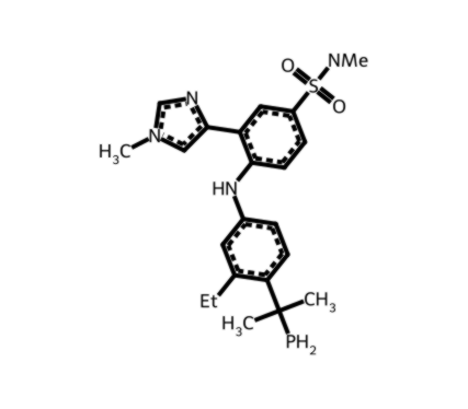 CCc1cc(Nc2ccc(S(=O)(=O)NC)cc2-c2cn(C)cn2)ccc1C(C)(C)P